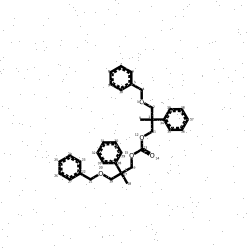 CC(COCc1ccccc1)(COC(=O)OCC(C)(COCc1ccccc1)c1ccccc1)c1ccccc1